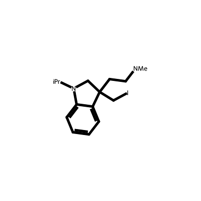 CNCCC1(CI)CN(C(C)C)c2ccccc21